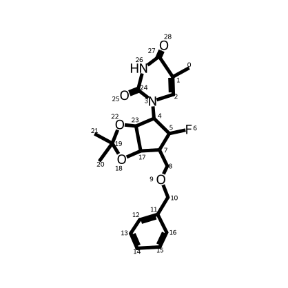 Cc1cn(C2C(F)C(COCc3ccccc3)C3OC(C)(C)OC32)c(=O)[nH]c1=O